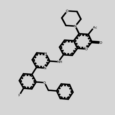 CC(=O)c1c(N2CCOCC2)c2ccc(Nc3nccc(-c4ccc(F)cc4OCc4ccccc4)n3)cc2oc1=O